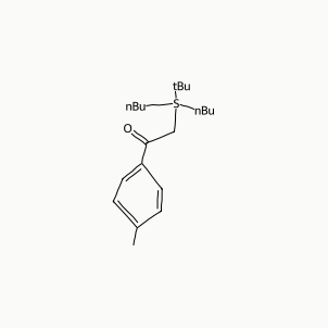 CCCCS(CCCC)(CC(=O)c1ccc(C)cc1)C(C)(C)C